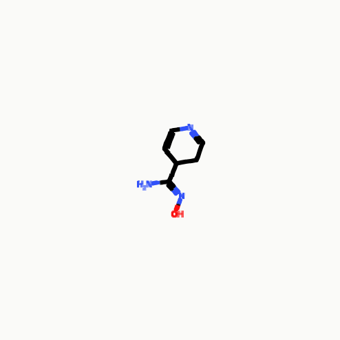 N/C(=N\O)C1C=CN=CC1